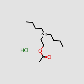 CCC[CH2][Sn]([CH2]CCC)[CH2]COC(C)=O.Cl